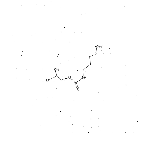 CCCCCCCCCCCCNC(=O)OCC(O)CC